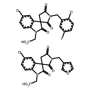 O=C(O)CN1C(=O)C2(CC(=O)N(Cc3cc(F)ccc3Cl)C2=O)c2cc(Cl)ccc21.O=C(O)CN1C(=O)C2(CC(=O)N(Cc3ccoc3)C2=O)c2cc(Cl)ccc21